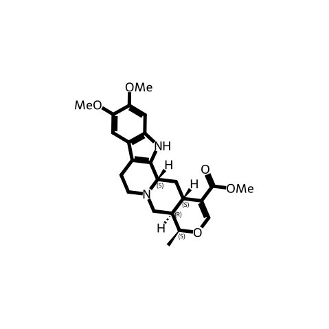 COC(=O)C1=CO[C@@H](C)[C@H]2CN3CCc4c([nH]c5cc(OC)c(OC)cc45)[C@@H]3C[C@H]12